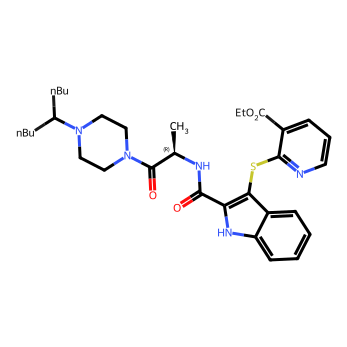 CCCCC(CCCC)N1CCN(C(=O)[C@@H](C)NC(=O)c2[nH]c3ccccc3c2Sc2ncccc2C(=O)OCC)CC1